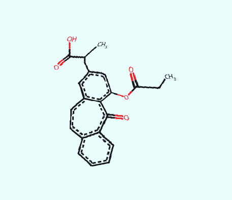 CCC(=O)Oc1cc(C(C)C(=O)O)cc2ccc3ccccc3c(=O)c12